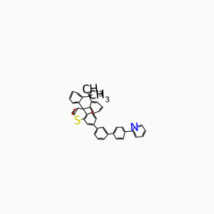 CC1(C)c2ccccc2C2(c3ccccc3Sc3cc(-c4cccc(-c5ccc(-c6ccccn6)cc5)c4)ccc32)c2ccccc21